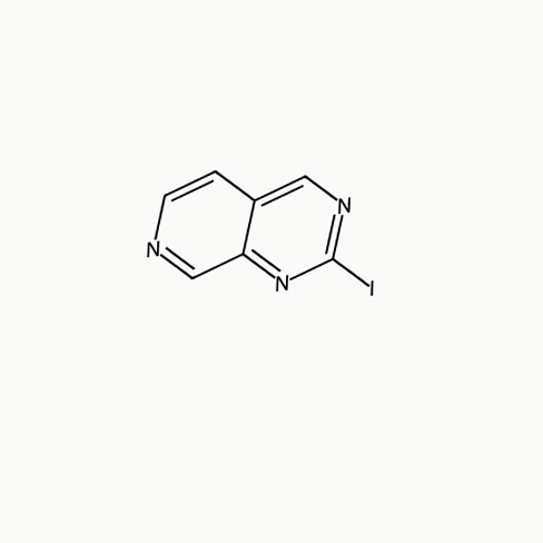 Ic1ncc2ccncc2n1